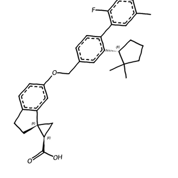 Cc1ccc(F)c(-c2ccc(COc3ccc4c(c3)[C@]3(CC4)C[C@H]3C(=O)O)cc2[C@@H]2CCCC2(C)C)c1